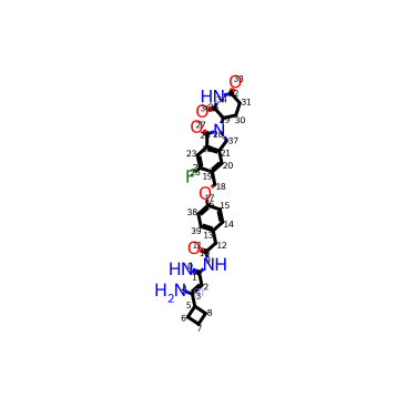 N=C(/C=C(\N)C1CCC1)NC(=O)Cc1ccc(OCc2cc3c(cc2F)C(=O)N(C2CCC(=O)NC2=O)C3)cc1